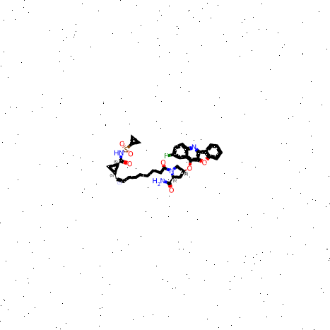 NC(=O)[C@@H]1C[C@@H](Oc2c3cc(F)ccc3nc3c2oc2ccccc23)CN1C(=O)CCCCCC/C=C\[C@@H]1C[C@@H]1C(=O)NS(=O)(=O)C1CC1